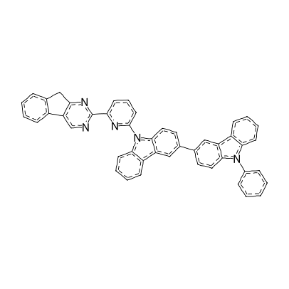 c1ccc(-n2c3ccccc3c3cc(-c4ccc5c(c4)c4ccccc4n5-c4cccc(-c5ncc6c(n5)Cc5ccccc5-6)n4)ccc32)cc1